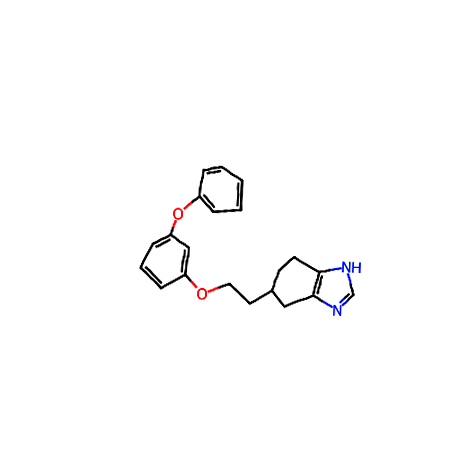 c1ccc(Oc2cccc(OCCC3CCc4[nH]cnc4C3)c2)cc1